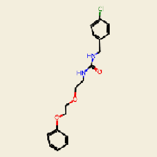 O=C(NCCOCCOc1ccccc1)NCc1ccc(Cl)cc1